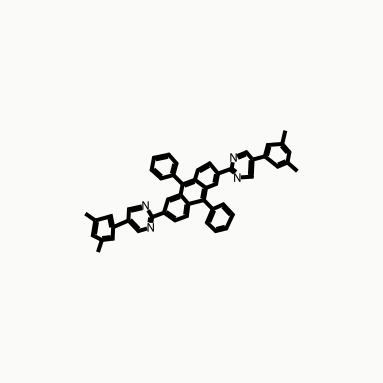 Cc1cc(C)cc(-c2cnc(-c3ccc4c(-c5ccccc5)c5cc(-c6ncc(-c7cc(C)cc(C)c7)cn6)ccc5c(-c5ccccc5)c4c3)nc2)c1